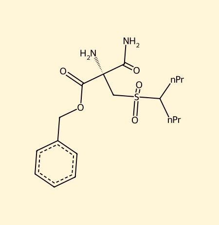 CCCC(CCC)S(=O)(=O)C[C@](N)(C(N)=O)C(=O)OCc1ccccc1